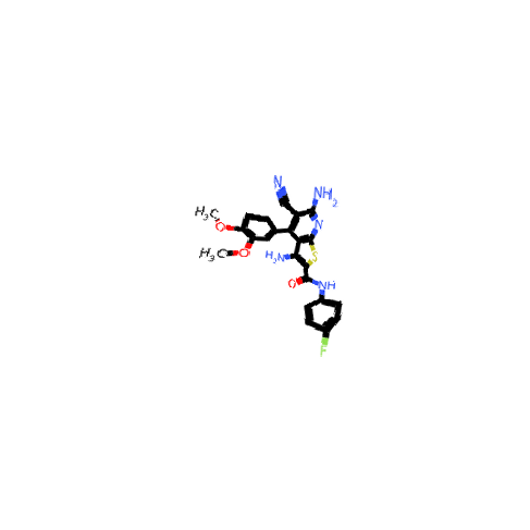 COc1ccc(-c2c(C#N)c(N)nc3sc(C(=O)Nc4ccc(F)cc4)c(N)c23)cc1OC